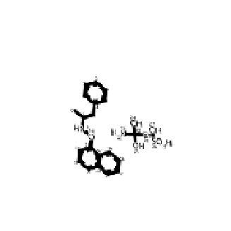 CC(Cc1ccccc1)NOc1cccc2ccccc12.CCC(N)(O)O.O=S(=O)(O)O